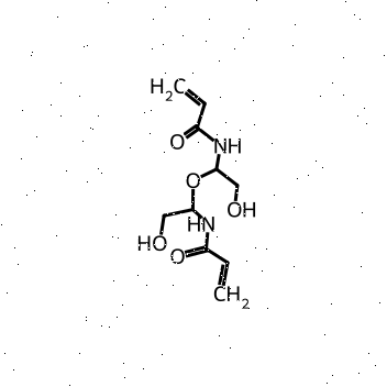 C=CC(=O)NC(CO)OC(CO)NC(=O)C=C